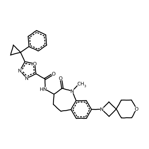 CN1C(=O)C(NC(=O)c2nnc(C3(c4ccccc4)CC3)o2)CCc2ccc(N3CC4(CCOCC4)C3)cc21